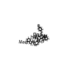 COc1cccc2c1CC[C@H]2Nc1nccc2cc(C3C4=C(NC(CCc5ccc(F)cc5)=C3c3n[nH]c(=O)o3)[C@@H]3CCCN3C4=O)sc12